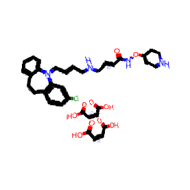 O=C(/C=C/CNCCCCN1c2ccccc2CCc2ccc(Cl)cc21)NOC1CCNCC1.O=C(O)/C=C\C(=O)O.O=C(O)/C=C\C(=O)O